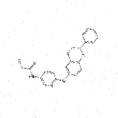 O=C(CCl)Nc1ccc(Oc2ccc3c(c2)SCC(c2ccccc2)O3)nc1